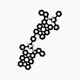 c1ccc(-c2cc(-c3ccccc3)nc(-n3c4ccc5ccccc5c4c4ccc5c(c43)-c3ccccc3C53c4ccccc4C4(c5ccccc5-c5c(-c6ccc(-c7nc(-c8ccccc8)nc(-n8c9ccc%10ccccc%10c9c9ccc%10c(c98)-c8ccccc8C%108c9ccccc9C9(c%10ccccc%10-c%10ccccc%109)c9ccccc98)n7)cc6)cccc54)c4ccccc43)n2)cc1